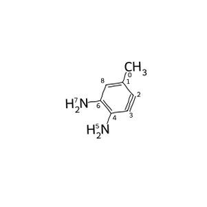 Cc1c#cc(N)c(N)c1